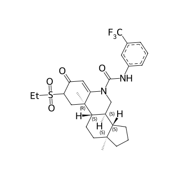 CCS(=O)(=O)C1C[C@@]2(C)C(=CC1=O)N(C(=O)Nc1cccc(C(F)(F)F)c1)C[C@H]1[C@@H]3CCC[C@@]3(C)CC[C@@H]12